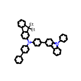 CCC1(CC)c2ccccc2-c2ccc(N(c3ccc(-c4ccccc4)cc3)c3ccc(-c4ccc5c(c4)c4ccccc4n5-c4ccccc4)cc3)cc21